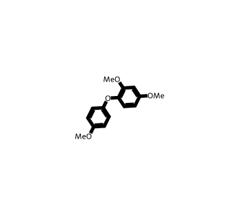 COc1ccc(Oc2ccc(OC)cc2OC)cc1